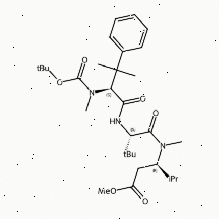 COC(=O)C[C@H](C(C)C)N(C)C(=O)[C@@H](NC(=O)[C@@H](N(C)C(=O)OC(C)(C)C)C(C)(C)c1ccccc1)C(C)(C)C